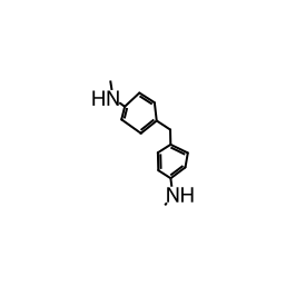 CNc1ccc(Cc2ccc(NC)cc2)cc1